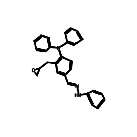 C(=NNc1ccccc1)c1ccc(N(c2ccccc2)c2ccccc2)c(CC2CO2)c1